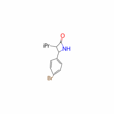 CC(C)C1C(=O)NC1c1ccc(Br)cc1